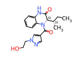 CC[C@H](C)[C@H]1C(=O)Nc2ccccc2N1C(=O)c1cnn(CCO)c1